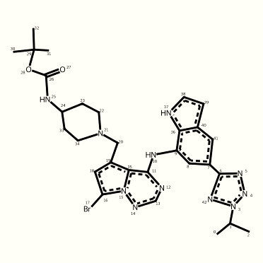 CC(C)n1nnc(-c2cc(Nc3ncnn4c(Br)cc(CN5CCC(NC(=O)OC(C)(C)C)CC5)c34)c3[nH]ccc3c2)n1